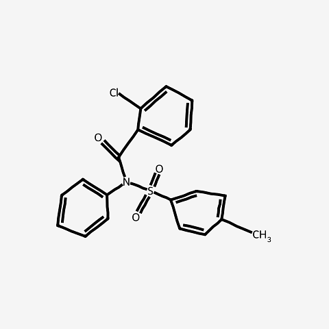 Cc1ccc(S(=O)(=O)N(C(=O)c2ccccc2Cl)c2ccccc2)cc1